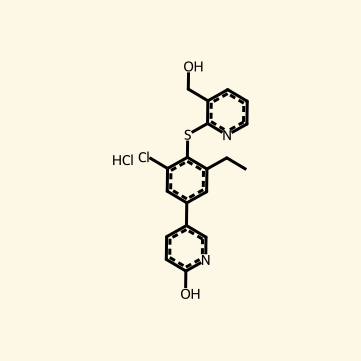 CCc1cc(-c2ccc(O)nc2)cc(Cl)c1Sc1ncccc1CO.Cl